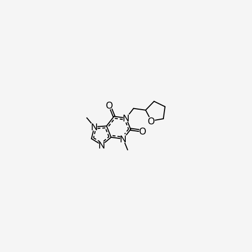 Cn1cnc2c1c(=O)n(CC1CCCO1)c(=O)n2C